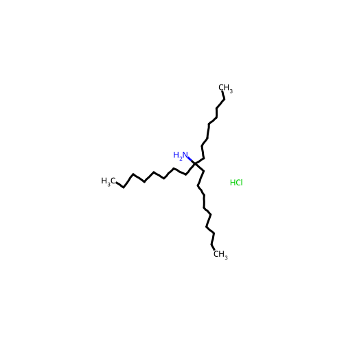 CCCCCCCCCC(N)(CCCCCCCC)CCCCCCCC.Cl